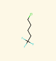 FC(F)(F)CCCCCl